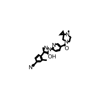 Cc1cc(C#N)ccc1-c1cnn(-c2ccc(C(=O)N3CCN(C)C4(CC4)C3)cn2)c1O